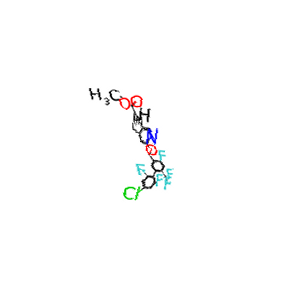 CCOC(=O)C1=C2Cc3cc(OCc4cc(-c5ccc(Cl)cc5F)c(C(F)(F)F)cc4F)ncc3[C@@H]21